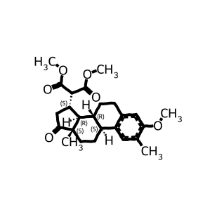 COC(=O)C(C(=O)OC)[C@H]1CC(=O)[C@@]2(C)CC[C@@H]3c4cc(C)c(OC)cc4CC[C@H]3[C@H]12